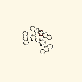 c1ccc2c(-c3nc(Cc4nc(-c5c6ccccc6cc6ccccc56)nc(-c5c6ccccc6cc6ccccc56)n4)nc(-c4c5ccccc5cc5ccccc45)n3)c3ccccc3cc2c1